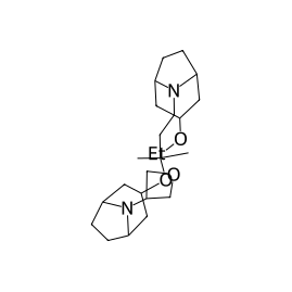 CCOC1CC2CCC(C1)N2CCC(C)(C)OC1CC2CCC(C1)N2C1COC1